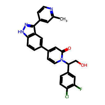 Cc1cc(-c2n[nH]c3ccc(-c4ccn(C(CO)c5ccc(Cl)c(F)c5)c(=O)c4)cc23)ccn1